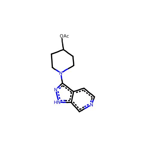 CC(=O)OC1CCN(c2n[nH]c3cnccc23)CC1